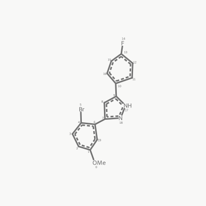 COc1ccc(Br)c(-c2cc(-c3ccc(F)cc3)[nH]n2)c1